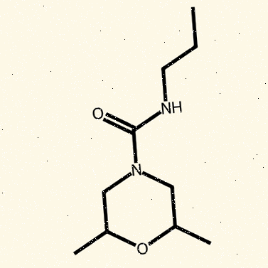 CCCNC(=O)N1CC(C)OC(C)C1